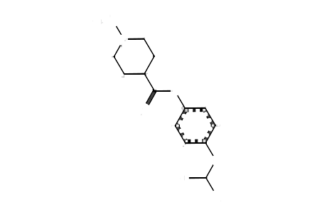 CCCCCCC[SiH]1CCC(C(=O)Oc2ccc(OC(F)F)cc2)CC1